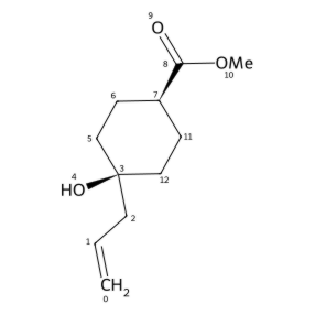 C=CC[C@]1(O)CC[C@@H](C(=O)OC)CC1